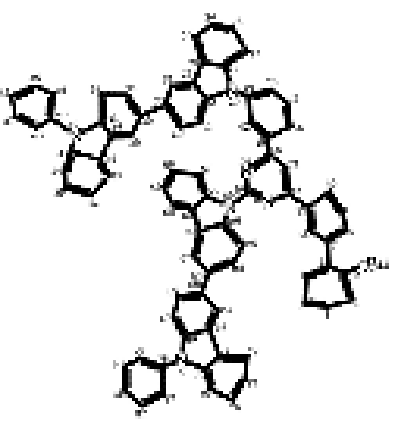 CC(C)(C)c1ccccc1-c1cccc(-c2cc(-c3cccc(-n4c5ccccc5c5cc(-c6ccc7c(c6)c6ccccc6n7-c6ccccc6)ccc54)c3)nc(-n3c4ccccc4c4cc(-c5ccc6c(c5)c5ccccc5n6-c5ccccc5)ccc43)n2)c1